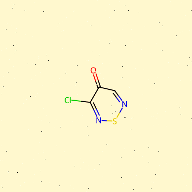 O=c1cnsnc1Cl